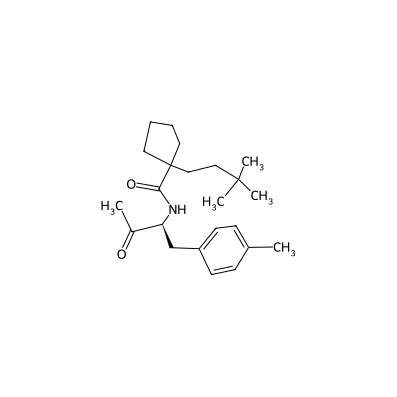 CC(=O)[C@H](Cc1ccc(C)cc1)NC(=O)C1(CCC(C)(C)C)CCCC1